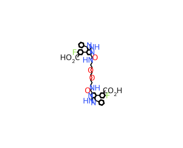 O=C(NCCCOCCOCCCNC(=O)c1cc(-c2ccc(F)c(C(=O)O)c2)c2c(-c3ccccc3)n[nH]c2n1)c1cc(-c2ccc(F)c(C(=O)O)c2)c2c(-c3ccccc3)n[nH]c2n1